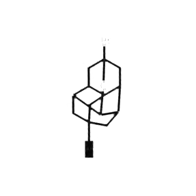 C#CC12CC3C4CC5(Br)CC3C(C1)C(C5)C4C2